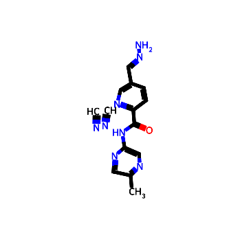 C#N.C#N.Cc1cnc(NC(=O)c2ccc(C=NN)cn2)cn1